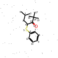 CC(C)CC(Sc1ccccc1)C(=O)C(C)(C)C